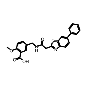 COc1ccc(CNC(=O)Cc2nc3ccc(-c4ccccc4)cc3s2)cc1C(=O)O